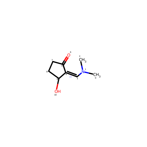 CN(C)/C=C1\C(=O)CCC1O